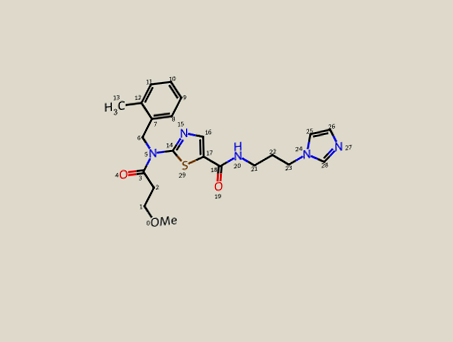 COCCC(=O)N(Cc1ccccc1C)c1ncc(C(=O)NCCCn2ccnc2)s1